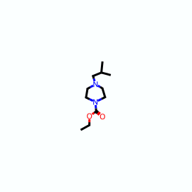 CCOC(=O)N1CCN(CC(C)C)CC1